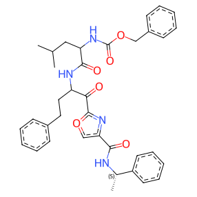 CC(C)CC(NC(=O)OCc1ccccc1)C(=O)NC(CCc1ccccc1)C(=O)c1nc(C(=O)N[C@@H](C)c2ccccc2)co1